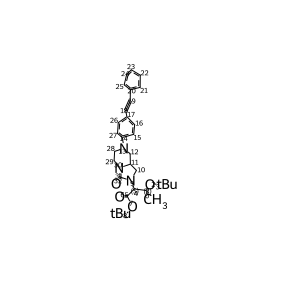 C[C@@H](OC(C)(C)C)[C@@H](C(=O)OC(C)(C)C)N1CC2CN(c3ccc(C#Cc4ccccc4)cc3)CCN2C1=O